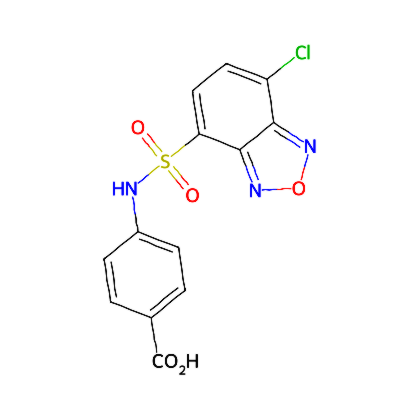 O=C(O)c1ccc(NS(=O)(=O)c2ccc(Cl)c3nonc23)cc1